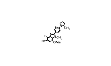 COc1cc(C#N)c(F)c2nc(-c3ccc(N4CCCC4C)nc3)n(C)c12